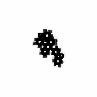 c1ccc2c(c1)oc1ccc(-c3c4ccccc4c(-c4cccc5oc6ccccc6c45)c4ccccc34)cc12